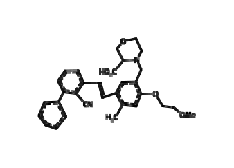 COCCOc1cc(C)c(C=Cc2cccc(-c3ccccc3)c2C#N)cc1CN1CCOCC1C(=O)O